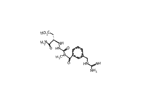 CN(C(=O)NN[C@@H](CC(=O)O)C(N)=O)C(=O)c1cccc(CNC(=N)N)c1